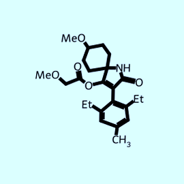 CCc1cc(C)cc(CC)c1C1=C(OC(=O)COC)C2(CCC(OC)CC2)NC1=O